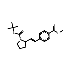 COC(=O)c1ccc(C=CC2CCCN2C(=O)OC(C)(C)C)cc1